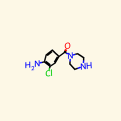 Nc1ccc(C(=O)N2CCNCC2)cc1Cl